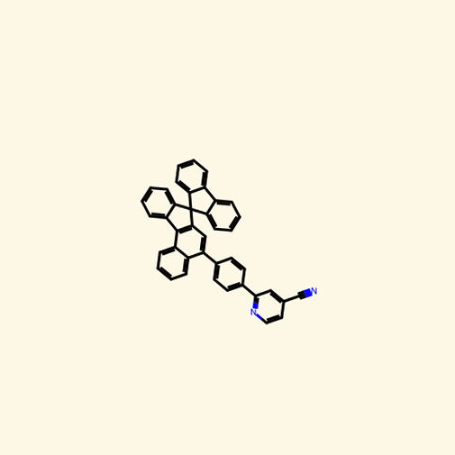 N#Cc1ccnc(-c2ccc(-c3cc4c(c5ccccc35)-c3ccccc3C43c4ccccc4-c4ccccc43)cc2)c1